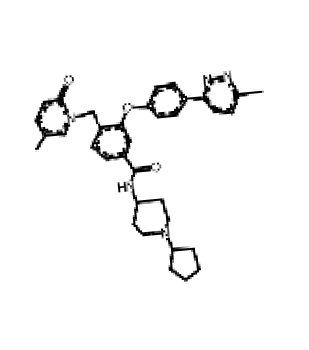 Cc1ccc(=O)n(Cc2ccc(C(=O)NC3CCN(C4CCCC4)CC3)cc2Oc2ccc(-c3ccc(C)nn3)cc2)c1